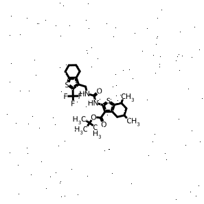 CC1Cc2c(sc(NC(=O)NCc3c(C(F)(F)F)sc4c3CCCC4)c2C(=O)OC(C)(C)C)C(C)C1